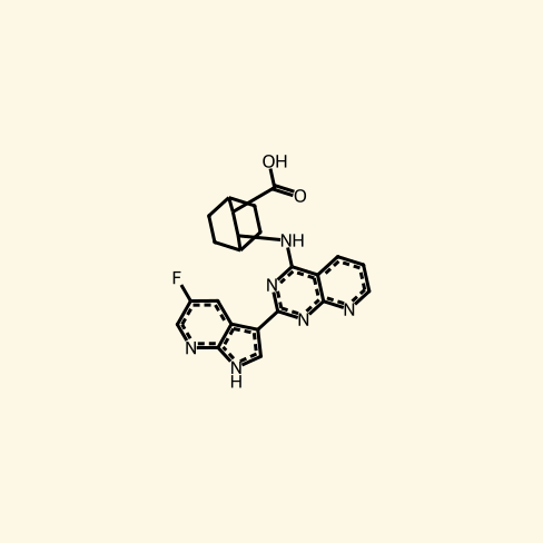 O=C(O)C1C2CCC(CC2)C1Nc1nc(-c2c[nH]c3ncc(F)cc23)nc2ncccc12